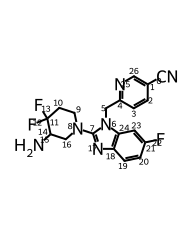 N#Cc1ccc(Cn2c(N3CCC(F)(F)C(N)C3)nc3ccc(F)cc32)nc1